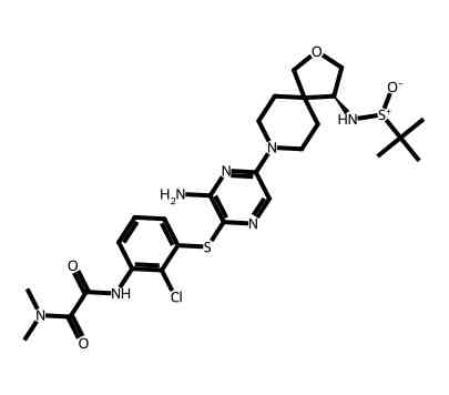 CN(C)C(=O)C(=O)Nc1cccc(Sc2ncc(N3CCC4(CC3)COC[C@H]4N[S+]([O-])C(C)(C)C)nc2N)c1Cl